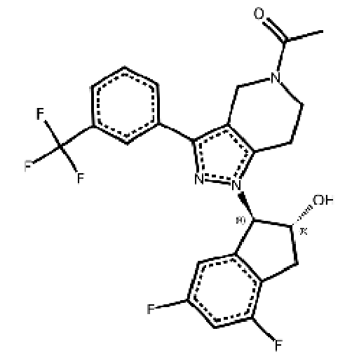 CC(=O)N1CCc2c(c(-c3cccc(C(F)(F)F)c3)nn2[C@@H]2c3cc(F)cc(F)c3C[C@H]2O)C1